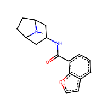 CN1C2CCC1CC(NC(=O)c1cccc3ccoc13)C2